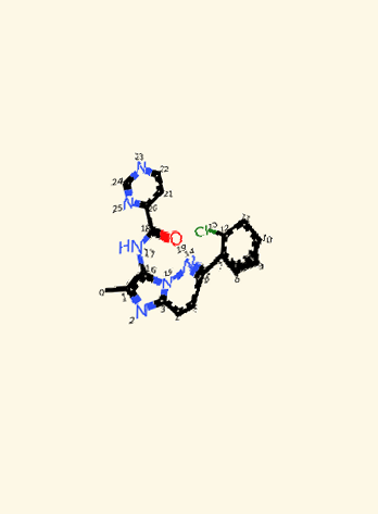 Cc1nc2ccc(-c3ccccc3Cl)nn2c1NC(=O)c1ccncn1